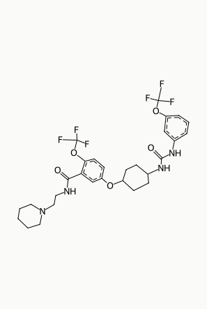 O=C(Nc1cccc(OC(F)(F)F)c1)NC1CCC(Oc2ccc(OC(F)(F)F)c(C(=O)NCCN3CCCCC3)c2)CC1